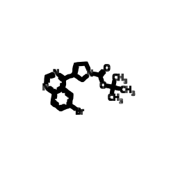 CC(C)(C)OC(=O)N1CC=C(c2ncnc3ccc(Br)cc23)C1